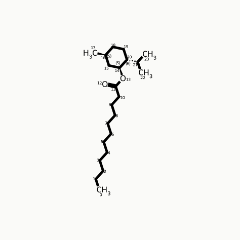 CCCCCCCCCCCC(=O)O[C@H]1C[C@@H](C)CC[C@@H]1C(C)C